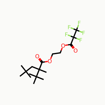 CC(C)(C)CC(C)(C(=O)OCCOC(=O)C(F)(F)C(F)(F)F)C(C)(C)C